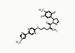 C=C(CCCOc1cnc(-c2cn(C)cn2)cn1)C(=O)N1N=CCC1c1cc(F)c(C)cc1F